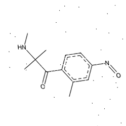 CNC(C)(C)C(=O)c1ccc(N=O)cc1C